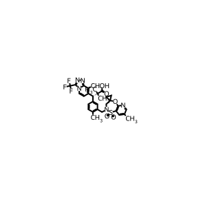 Cc1cnc2c(c1)S(=O)(=O)N(Cc1cc([C@H](c3ccn4c(C(F)(F)F)nnc4c3C)C(C)(C)C(=O)O)ccc1C)CC1(CC1)O2